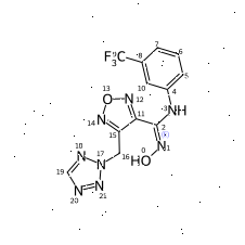 O/N=C(/Nc1cccc(C(F)(F)F)c1)c1nonc1Cn1ncnn1